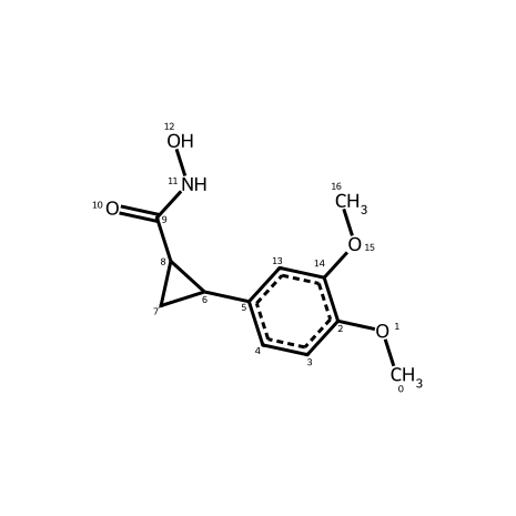 COc1ccc(C2CC2C(=O)NO)cc1OC